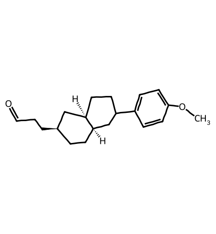 COc1ccc(C2CC[C@@H]3C[C@H](CCC=O)CC[C@@H]3C2)cc1